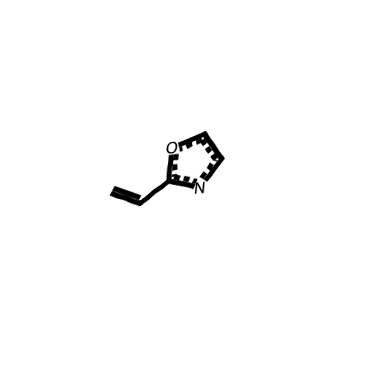 C=Cc1ncco1